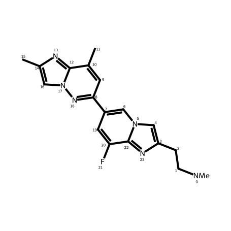 CNCCc1cn2cc(-c3cc(C)c4nc(C)cn4n3)cc(F)c2n1